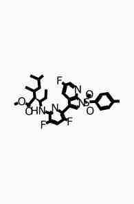 CCC(Nc1nc(-c2cn(S(=O)(=O)c3ccc(C)cc3)c3ncc(F)cc23)c(F)cc1F)[C@@H](C(=O)OC)C(C)CC(C)C